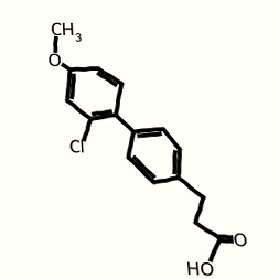 COc1ccc(-c2ccc(CCC(=O)O)cc2)c(Cl)c1